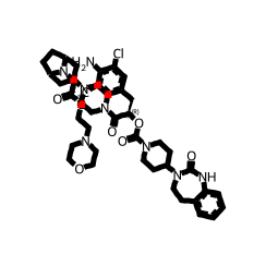 Nc1c(Cl)cc(C[C@@H](OC(=O)N2CCC(N3CCc4ccccc4NC3=O)CC2)C(=O)N2CCN(C3CC4CCC(C3)N4CC(=O)OCCN3CCOCC3)CC2)cc1C(F)(F)F